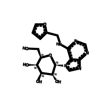 OC[C@H]1O[C@H](n2cnc3ncnc(NCc4ccco4)c32)[C@H](O)[C@@H](O)[C@@H]1O